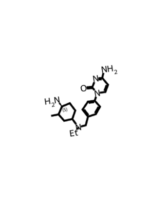 CCN(Cc1ccc(-n2ccc(N)nc2=O)cc1)C1CC[C@H](N)C(C)C1